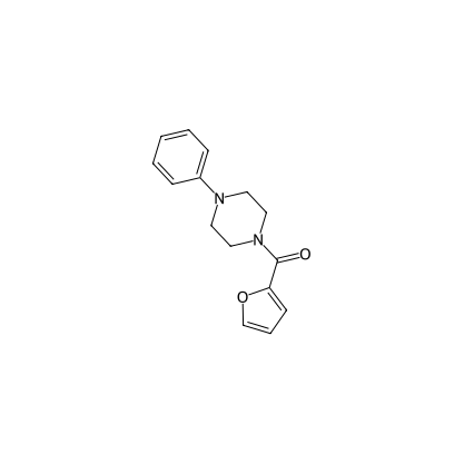 O=C(c1ccco1)N1CCN(c2ccccc2)CC1